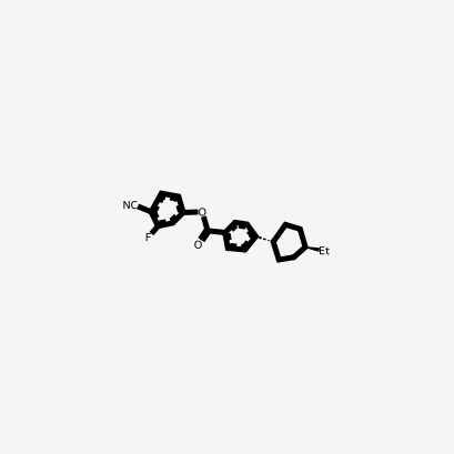 CC[C@H]1CC[C@H](c2ccc(C(=O)Oc3ccc(C#N)c(F)c3)cc2)CC1